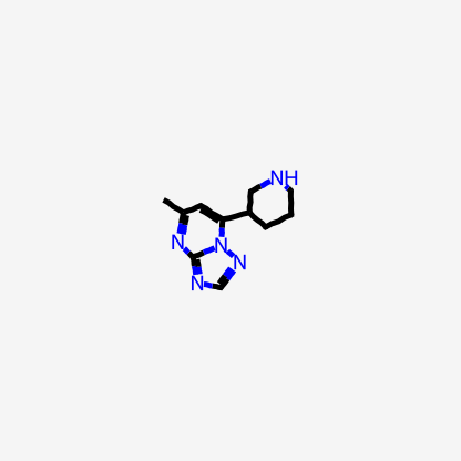 Cc1cc(C2CCCNC2)n2ncnc2n1